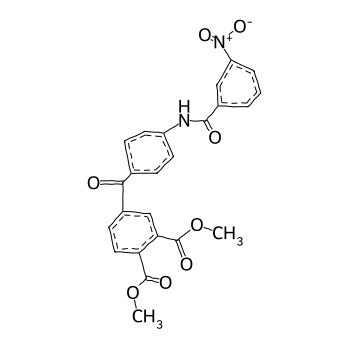 COC(=O)c1ccc(C(=O)c2ccc(NC(=O)c3cccc([N+](=O)[O-])c3)cc2)cc1C(=O)OC